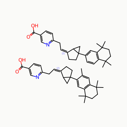 CC1(C)CCC(C)(C)c2cc(C34CC/C(=C/Cc5ccc(C(=O)O)cn5)C3C4)ccc21.Cc1cc2c(cc1C13CC/C(=C/Cc4ccc(C(=O)O)cn4)C1C3)C(C)(C)CCC2(C)C